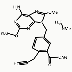 C#CCc1ccc(Cn2c(OC)nc3c(N)nc(OCCCC)nc32)cc1C(=O)OC.CNC